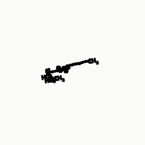 CCCCCCCCCCCCCCCCc1ccc(C(=O)OCCOC(=O)CCCC=CC[C@@H]2[C@@H](C=CC[C@H](O)C3(CC)CCC3)[C@H](O)C[C@H]2Cl)cc1